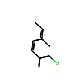 C/C=C(C)\C=C/C(C)CCl